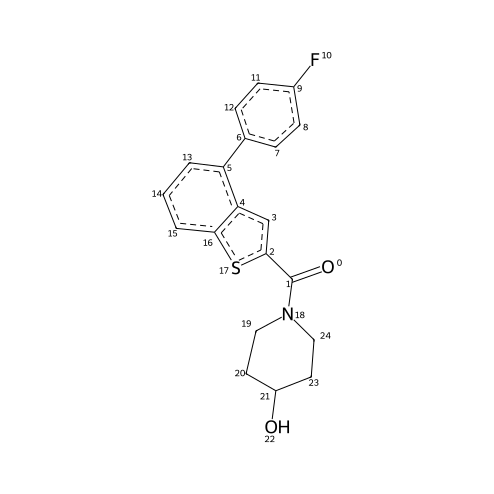 O=C(c1cc2c(-c3ccc(F)cc3)cccc2s1)N1CCC(O)CC1